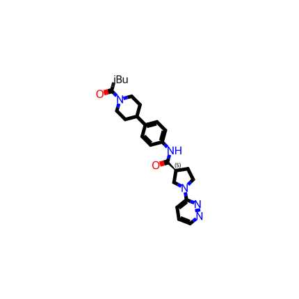 CCC(C)C(=O)N1CCC(c2ccc(NC(=O)[C@H]3CCN(c4cccnn4)C3)cc2)CC1